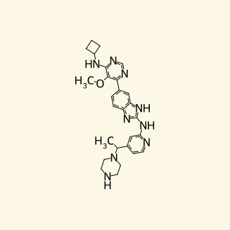 COc1c(NC2CCC2)ncnc1-c1ccc2nc(Nc3cc(C(C)N4CCNCC4)ccn3)[nH]c2c1